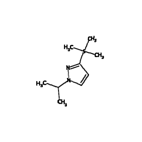 CC(C)n1ccc(S(C)(C)C)n1